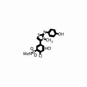 CNS(=O)(=O)c1cc(-c2csc(=Nc3ccc(O)cc3)n2C)ccc1Cl.Cl